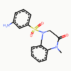 CN1C(=O)CN(S(=O)(=O)c2cccc(N)c2)c2ccccc21